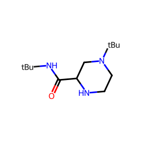 CC(C)(C)NC(=O)C1CN(C(C)(C)C)CCN1